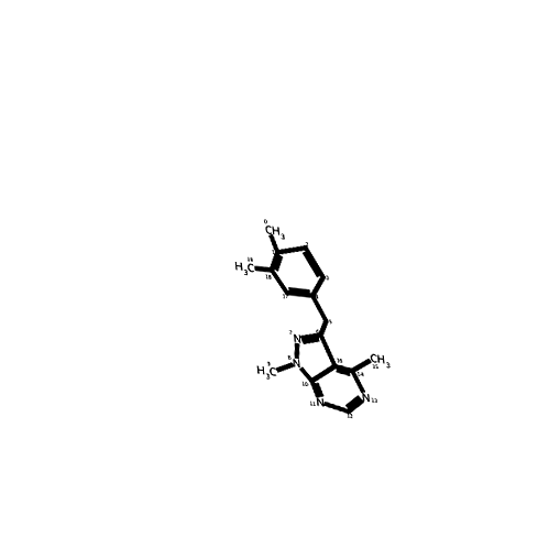 Cc1ccc(Cc2nn(C)c3ncnc(C)c23)cc1C